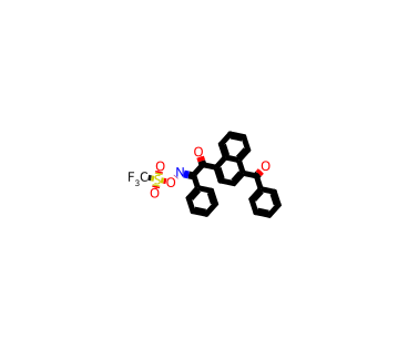 O=C(/C(=N/OS(=O)(=O)C(F)(F)F)c1ccccc1)c1ccc(C(=O)c2ccccc2)c2ccccc12